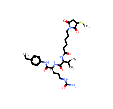 CCc1ccc(NC(=O)[C@H](CCCNC(N)=O)NC(=O)C(NC(=O)CCCCCN2C(=O)CC(SC)C2=O)C(C)C)cc1